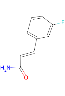 NC(=O)C=Cc1cccc(F)c1